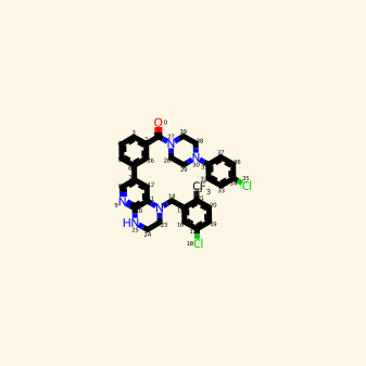 O=C(c1cccc(-c2cnc3c(c2)N(Cc2cc(Cl)ccc2C(F)(F)F)CCN3)c1)N1CCN(c2ccc(Cl)cc2)CC1